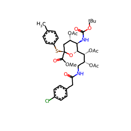 COC(=O)[C@]1(Sc2ccc(C)cc2)C[C@H](OC(C)=O)[C@@H](NC(=O)OC(C)(C)C)[C@H]([C@H](OC(C)=O)[C@@H](CNC(=O)Cc2ccc(Cl)cc2)OC(C)=O)O1